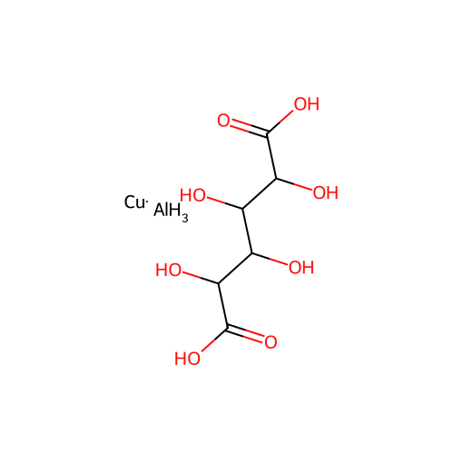 O=C(O)C(O)C(O)C(O)C(O)C(=O)O.[AlH3].[Cu]